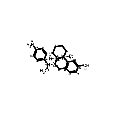 CC[C@@]12CCCC[C@@H]1[C@@H](N(C)c1ccc(N)cc1)Cc1ccc(O)cc12